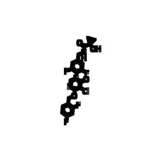 O=C(NCc1cc(F)c(-n2cnc(OCc3ccc(F)cc3F)c(Cl)c2=O)c(F)c1)C1(O)CC1